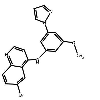 COc1cc(Nc2ccnc3ccc(Br)cc23)cc(-n2cccn2)c1